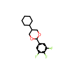 Fc1cc(C2OCC(C3CCCCC3)CO2)cc(F)c1F